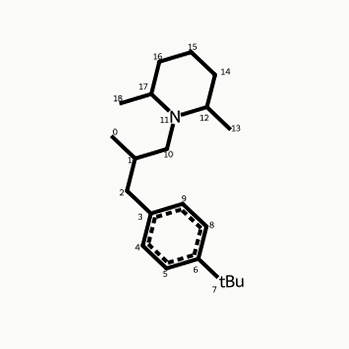 CC(Cc1ccc(C(C)(C)C)cc1)CN1C(C)CCCC1C